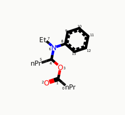 CCCC(=O)OC(CCC)N(CC)c1ccccc1